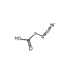 [N-]=[N+]=NSC(=O)O